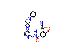 C[C@@]1(C#N)COCc2ccc(C(=O)NCc3cc(N4CC5(CCN(c6ccccc6)C5)C4)ccn3)cc21